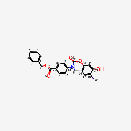 O=C(OCc1ccccc1)c1ccc(N2Cc3cc(I)c(O)cc3OC2=O)cc1